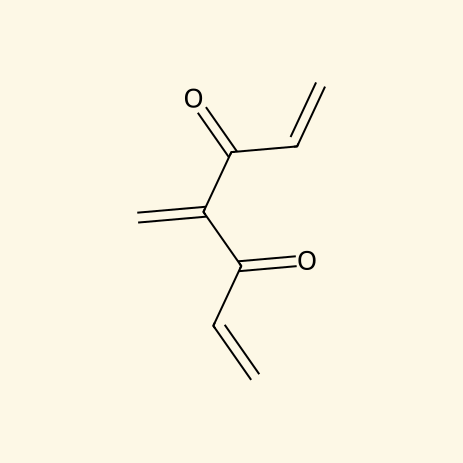 C=CC(=O)C(=C)C(=O)C=C